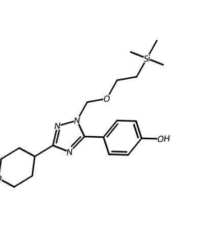 C[Si](C)(C)CCOCn1nc(C2CCOCC2)nc1-c1ccc(O)cc1